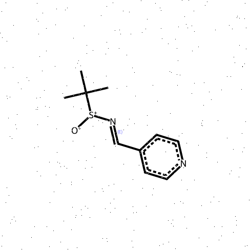 CC(C)(C)[S+]([O-])/N=C/c1ccncc1